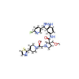 COC[C@@]1(C(=O)Nc2ccc3[nH]nc(-c4ccc(F)nc4)c3c2)CCN(CC(=O)N2CC=C(c3nccs3)CC2)C1